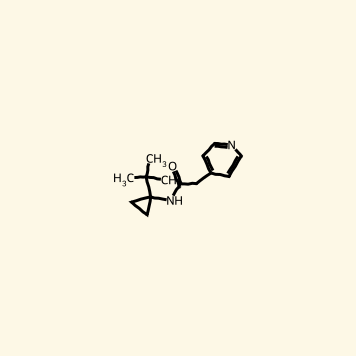 CC(C)(C)C1(NC(=O)Cc2ccncc2)CC1